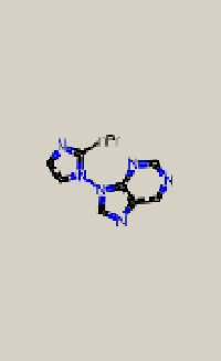 CCCc1nccn1-n1cnc2cncnc21